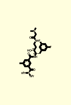 CCCN(CCC)C(=O)c1cc(C)cc(C(=O)N[C@@H](Cc2cc(F)cc(F)c2)[C@H](O)CCNC(=O)CN(C)C)c1